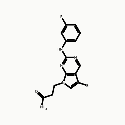 NC(=O)CCn1cc(Br)c2cnc(Nc3cccc(F)c3)nc21